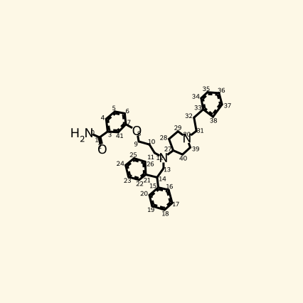 NC(=O)c1cccc(OCCCN(CC(c2ccccc2)c2ccccc2)C2CCN(CCc3ccccc3)CC2)c1